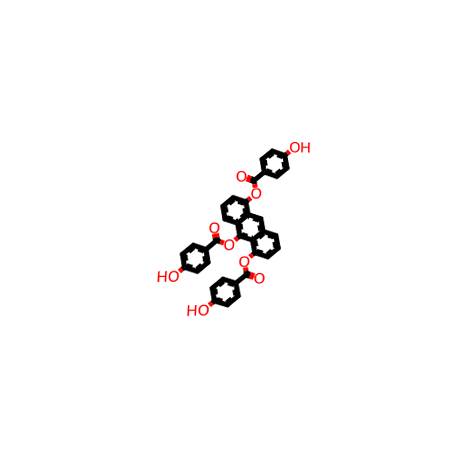 O=C(Oc1cccc2c(OC(=O)c3ccc(O)cc3)c3c(OC(=O)c4ccc(O)cc4)cccc3cc12)c1ccc(O)cc1